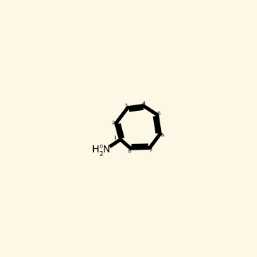 NC1=CC=CC=CC=C1